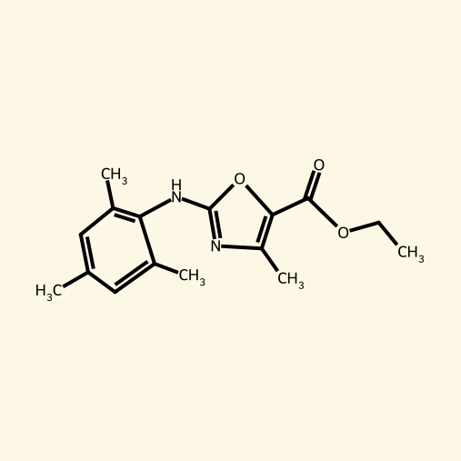 CCOC(=O)c1oc(Nc2c(C)cc(C)cc2C)nc1C